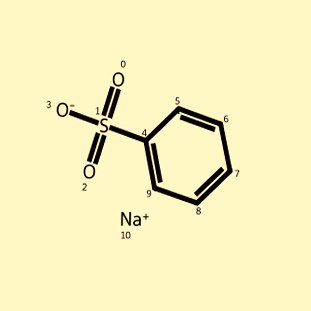 O=S(=O)([O-])c1[c]cccc1.[Na+]